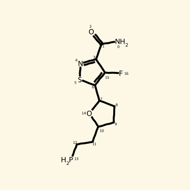 NC(=O)c1nsc(C2CCC(CCP)O2)c1F